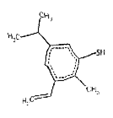 C=Cc1cc(C(C)C)cc(S)c1C